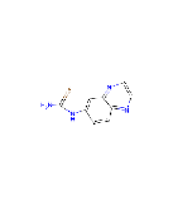 NC(=S)Nc1ccc2nccnc2c1